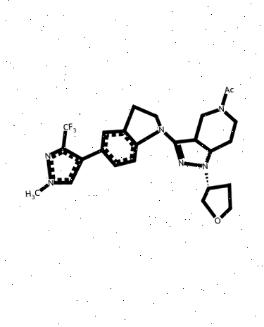 CC(=O)N1CCC2C(C1)C(N1CCc3cc(-c4cn(C)nc4C(F)(F)F)ccc31)=NN2[C@@H]1CCOC1